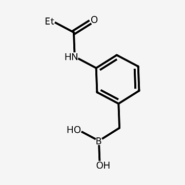 CCC(=O)Nc1cccc(CB(O)O)c1